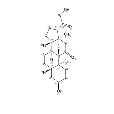 C[C@]12CC(=O)[C@@]3(F)[C@@H](CC[C@H]4C[C@H](O)CC[C@@]43C)[C@@H]1CC[C@@H]2C(=O)CO